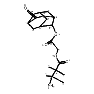 CC(C)(N)C(C)(C)C(=O)OCC(=O)OC1C2CC3CC(C2)C(=O)OC1C3